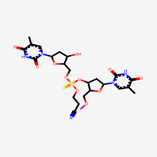 Cc1cn(C2CC(O)C(COP(=S)(OCCC#N)OC3CC(n4cc(C)c(=O)[nH]c4=O)OC3COI)O2)c(=O)[nH]c1=O